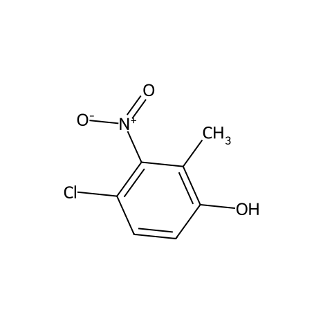 Cc1c(O)ccc(Cl)c1[N+](=O)[O-]